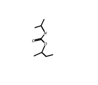 CCC(C)OC(=O)[N]C(C)C